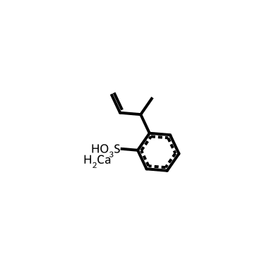 C=CC(C)c1ccccc1S(=O)(=O)O.[CaH2]